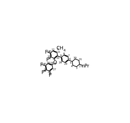 C.CCCC1CCC(c2ccc(-c3ccc(F)c(F)c3Oc3cc(F)c(F)c(F)c3)cc2)CC1